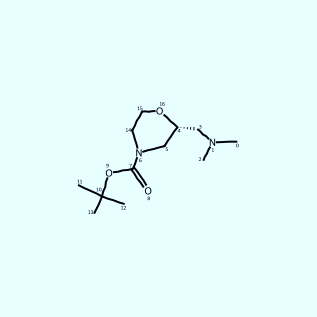 CN(C)C[C@@H]1CN(C(=O)OC(C)(C)C)CCO1